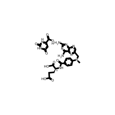 CN(Cc1cnc2nc(N)nc(N)c2n1)c1ccc(C(=O)N[C@@H](CCC(=O)O)C(=O)O)cc1.O=C(O)c1cc(=O)[nH]c(=O)[nH]1